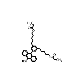 C=CC(=O)OCCCCCc1cc(CCCCCOC(=O)C=C)cc(-c2c3ccccc3c(C(C)(C)C)c3ccccc23)c1